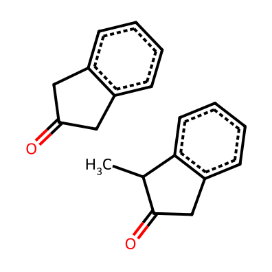 CC1C(=O)Cc2ccccc21.O=C1Cc2ccccc2C1